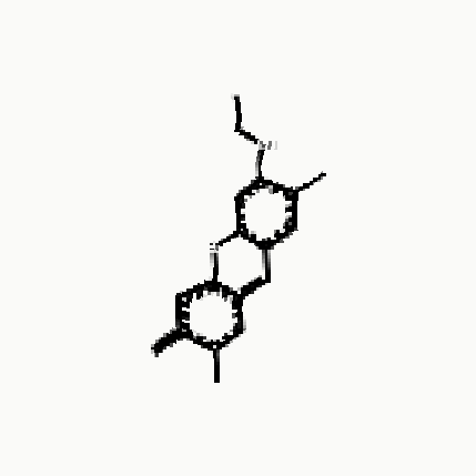 C=c1cc2c(cc1C)=Cc1cc(C)c(NCC)cc1O2